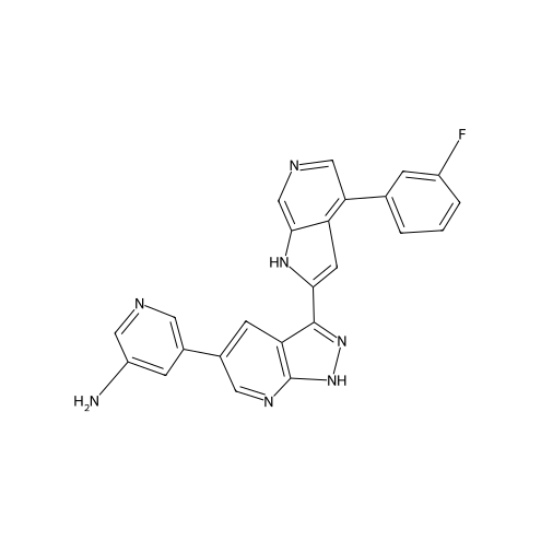 Nc1cncc(-c2cnc3[nH]nc(-c4cc5c(-c6cccc(F)c6)cncc5[nH]4)c3c2)c1